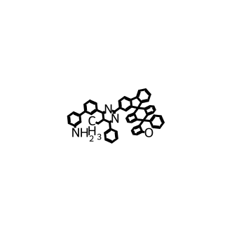 CCC1C(c2cccc(-c3cccc(N)c3)c2)=NC(c2ccc3c(c2)C2(c4ccccc4-3)c3ccccc3C3(c4ccccc4Oc4ccccc43)c3ccccc32)=NC1c1ccccc1